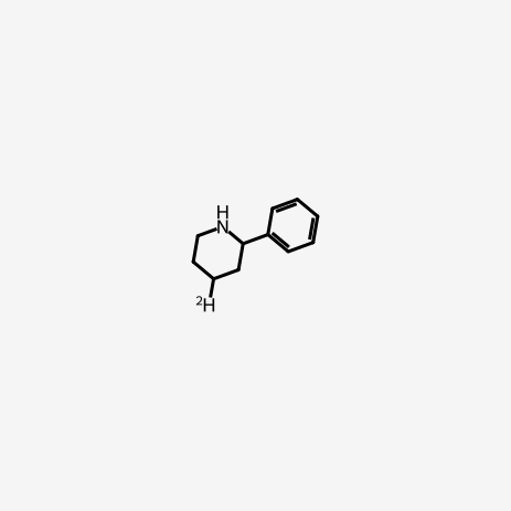 [2H]C1CCNC(c2ccccc2)C1